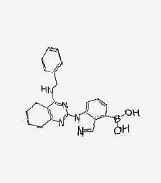 OB(O)c1cccc2c1cnn2-c1nc2c(c(NCc3ccccc3)n1)CCCC2